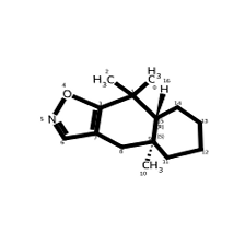 CC1(C)c2oncc2C[C@]2(C)CCCC[C@@H]12